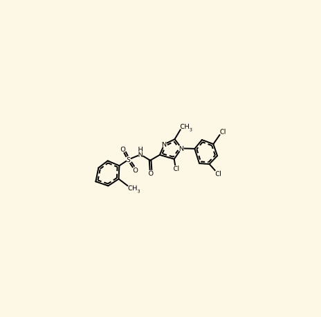 Cc1ccccc1S(=O)(=O)NC(=O)c1nc(C)n(-c2cc(Cl)cc(Cl)c2)c1Cl